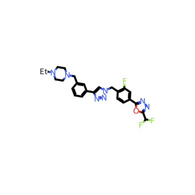 CCN1CCN(Cc2cccc(-c3cn(Cc4ccc(-c5nnc(C(F)F)o5)cc4F)nn3)c2)CC1